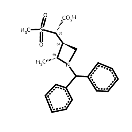 C[C@@H]1[C@@H]([C@@H](C(=O)O)S(C)(=O)=O)CN1C(c1ccccc1)c1ccccc1